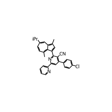 Cc1cc(-c2nc(-c3ccccn3)cc(-c3ccc(Cl)cc3)c2C#N)c2c(C)ccc(C(C)C)cc1-2